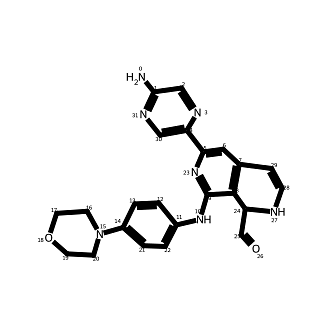 Nc1cnc(-c2cc3c(c(Nc4ccc(N5CCOCC5)cc4)n2)C(C=O)NC=C3)cn1